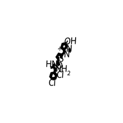 CC(NC(=O)c1ccc(-c2ncnc3c2[C@H](C)C[C@H]3O)s1)[C@H](N)c1ccc(Cl)cc1Cl